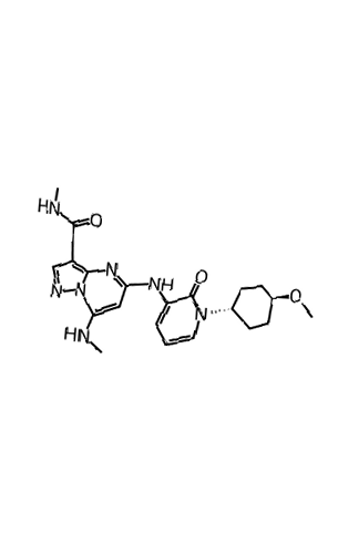 CNC(=O)c1cnn2c(NC)cc(Nc3cccn([C@H]4CC[C@H](OC)CC4)c3=O)nc12